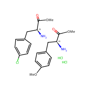 COC(=O)[C@@H](N)Cc1ccc(Cl)cc1.COC(=O)[C@@H](N)Cc1ccc(OC)cc1.Cl.Cl